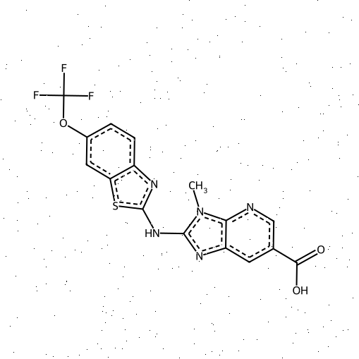 Cn1c(Nc2nc3ccc(OC(F)(F)F)cc3s2)nc2cc(C(=O)O)cnc21